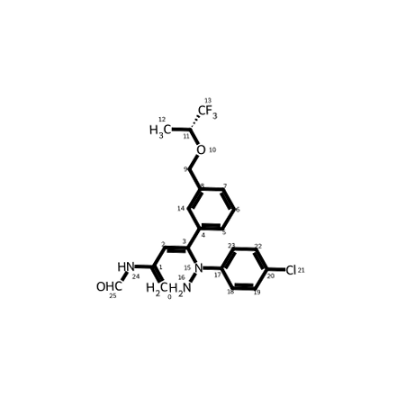 C=C(/C=C(/c1cccc(CO[C@H](C)C(F)(F)F)c1)N(N)c1ccc(Cl)cc1)NC=O